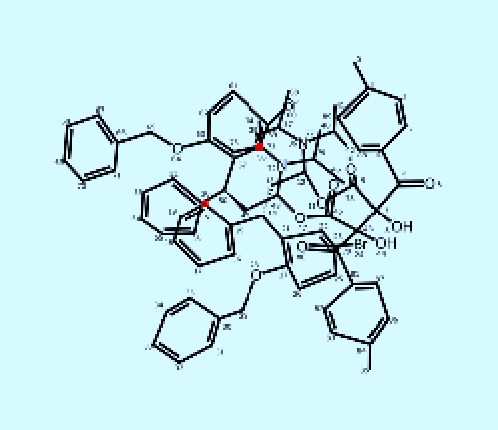 Cc1ccc(C(=O)C(O)(C(=O)OC(C[C@@H](c2ccccc2)c2cc(Br)ccc2OCc2ccccc2)N(C(C)C)C(C)C)C(O)(C(=O)OC(C[C@@H](c2ccccc2)c2cc(Br)ccc2OCc2ccccc2)N(C(C)C)C(C)C)C(=O)c2ccc(C)cc2)cc1